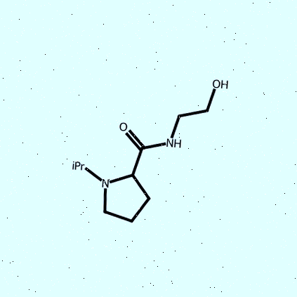 CC(C)N1CCCC1C(=O)NCCO